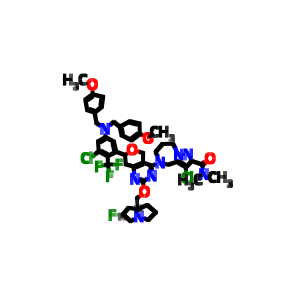 COc1ccc(CN(Cc2ccc(OC)cc2)c2cc(Cl)c(C(F)(F)F)c(C3Cc4nc(OC[C@@]56CCCN5C[C@H](F)C6)nc(N5CCCn6nc(C(=O)N(C)C)c(Cl)c6C5)c4CO3)c2)cc1